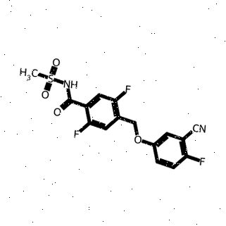 CS(=O)(=O)NC(=O)c1cc(F)c(COc2ccc(F)c(C#N)c2)cc1F